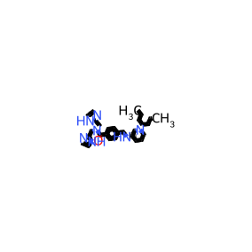 CCCC(CCC)N1CCC[C@H](NCc2ccc(C(=O)N(Cc3ncc[nH]3)Cc3ncc[nH]3)cc2)C1